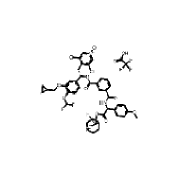 COc1ccc(C(NC(=O)c2cccc(C(=O)O[C@@H](Cc3c(Cl)c[n+]([O-])cc3Cl)c3ccc(OC(F)F)c(OCC4CC4)c3)c2)C(=O)O[C@H]2CN3CCC2CC3)cc1.O=C(O)C(F)(F)F